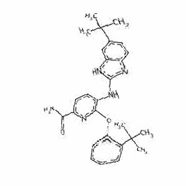 CC(C)(C)c1ccc2nc(Nc3ccc(C(N)=O)nc3Oc3ccccc3C(C)(C)C)[nH]c2c1